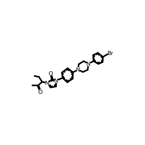 CCC(C(C)=O)n1ccn(-c2ccc(N3CCN(c4ccc(Br)cc4)CC3)cc2)c1=O